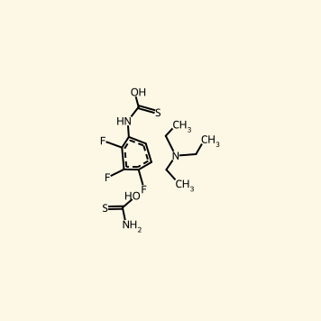 CCN(CC)CC.NC(O)=S.OC(=S)Nc1ccc(F)c(F)c1F